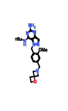 CCCCNc1nc(N)nc2cnn(Cc3ccc(CN4CC5(CCO5)C4)cc3OC)c12